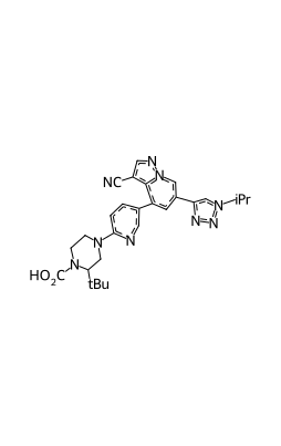 CC(C)n1cc(-c2cc(-c3ccc(N4CCN(C(=O)O)C(C(C)(C)C)C4)nc3)c3c(C#N)cnn3c2)nn1